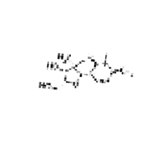 C=C1C=CN([C@@H]2O[C@H](CO)[C@@H](O)[C@@]2(C)F)C(=O)N1